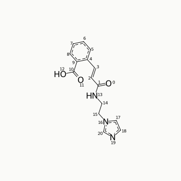 O=C(C=Cc1ccccc1C(=O)O)NCCn1ccnc1